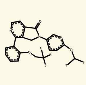 O=C1c2ccnc(-c3ccccc3OCC(F)(F)F)c2CN1c1ccc(OC(F)F)nc1